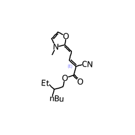 CCCCC(CC)COC(=O)/C(C#N)=C/C=C1OC=CN1C